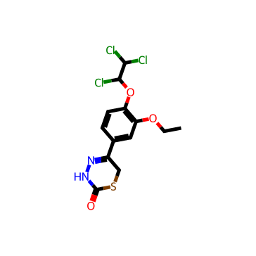 CCOc1cc(C2=NNC(=O)SC2)ccc1OC(Cl)C(Cl)Cl